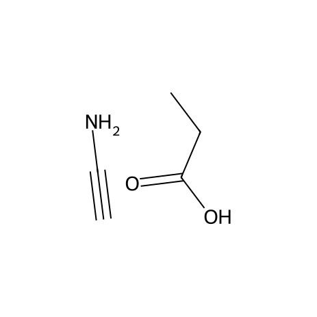 C#CN.CCC(=O)O